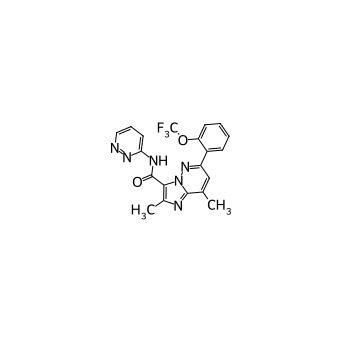 Cc1nc2c(C)cc(-c3ccccc3OC(F)(F)F)nn2c1C(=O)Nc1cccnn1